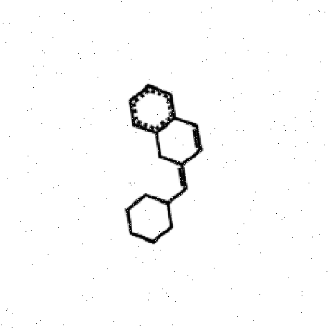 C1=Cc2ccccc2CC1=CC1CCCCC1